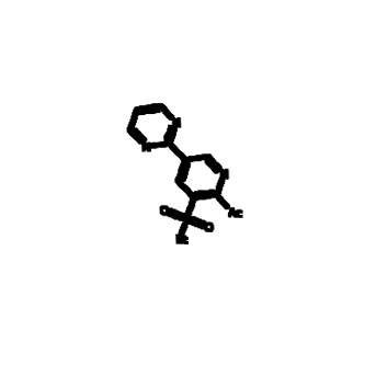 CCS(=O)(=O)c1cc(-c2ncccn2)cnc1C(C)=O